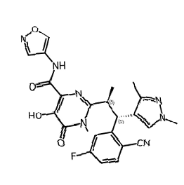 Cc1nn(C)cc1[C@H](c1cc(F)ccc1C#N)[C@H](C)c1nc(C(=O)Nc2cnoc2)c(O)c(=O)n1C